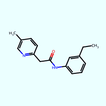 CCc1cccc(NC(=O)Cc2ccc(C)cn2)c1